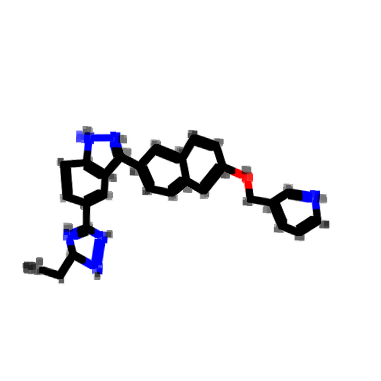 CC(C)(C)CC1N=NC(c2ccc3[nH]nc(-c4ccc5cc(OCc6cccnc6)ccc5c4)c3c2)=N1